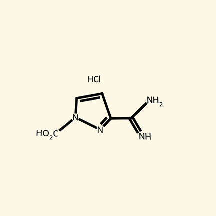 Cl.N=C(N)c1ccn(C(=O)O)n1